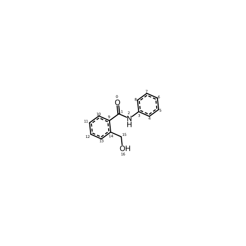 O=C(Nc1ccccc1)c1ccccc1CO